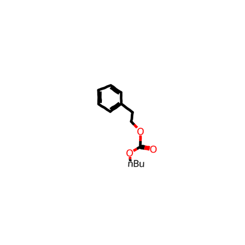 CCCCOC(=O)OCCc1ccccc1